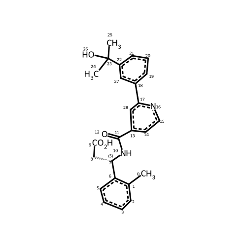 Cc1ccccc1[C@H](CC(=O)O)NC(=O)c1ccnc(-c2cccc(C(C)(C)O)c2)c1